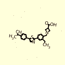 CCc1cc(-c2ncc(-c3ccc(C(C)C)cc3)s2)ccc1CN1CC(C(=O)O)C1